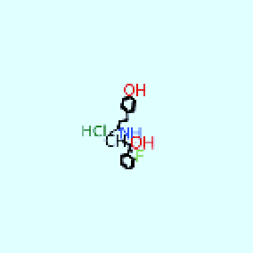 CC[C@@H](CCc1ccc(O)cc1)NC[C@H](O)c1ccccc1F.Cl